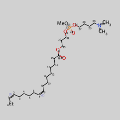 CC/C=C\CCCC/C=C\CCCCCCCC(=O)OCCCOP(=O)(OC)OCCCCN(C)C